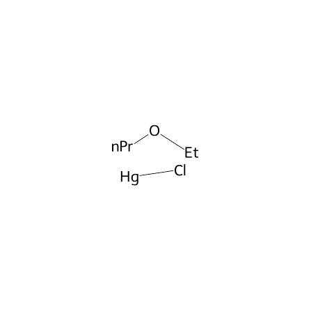 [CH2]CCOCC.[Cl][Hg]